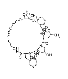 CC(C)C[C@H]1NC(=O)c2ccccc2OC(C)(C)C(=O)OCCCCCCCCNC(=O)[C@H](Cc2cccnc2)N(C)C(=O)[C@H]2C[C@H](O)CN2C1=O